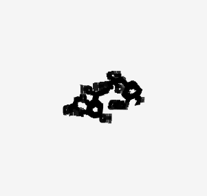 COc1cc(CC(C)(C)NC[C@H](O)c2cc(O)cc3c2OCC(=O)N3)ccc1F